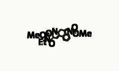 CCN(C(=O)OC)C(=O)C1C=C2c3cccc4c3c(cn4C(=O)OC)CC2N(C)C1